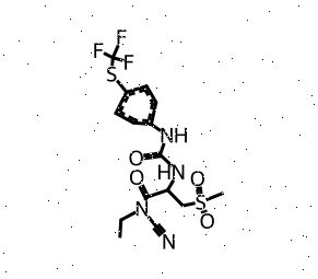 CCN(C#N)C(=O)C(CS(C)(=O)=O)NC(=O)Nc1ccc(SC(F)(F)F)cc1